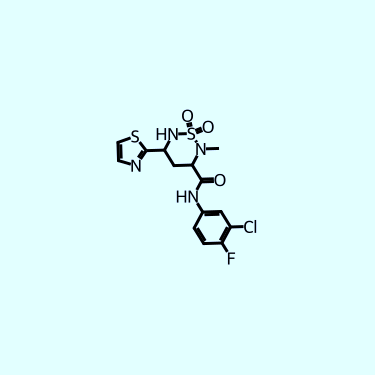 CN1C(C(=O)Nc2ccc(F)c(Cl)c2)CC(c2nccs2)NS1(=O)=O